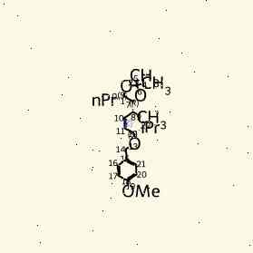 CCC[C@@H]1OC(C)(C)O[C@@H]1C(C)/C=C\[C@@H](OCc1ccc(OC)cc1)C(C)C